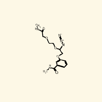 CNC(=O)COCCOC(COc1cccc(C(=O)NC)c1)N=[N+]=[N-]